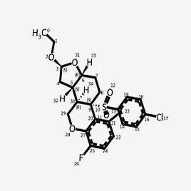 CCO[C@@H]1C[C@@H]2[C@@H](CC[C@@]3(S(=O)(=O)c4ccc(Cl)cc4)c4c(F)ccc(F)c4OC[C@@H]23)O1